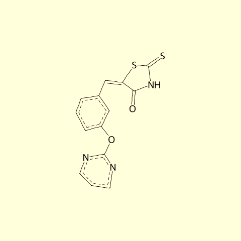 O=C1NC(=S)SC1=Cc1cccc(Oc2ncccn2)c1